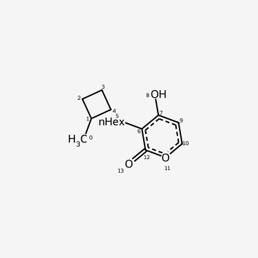 CC1CCC1.CCCCCCc1c(O)ccoc1=O